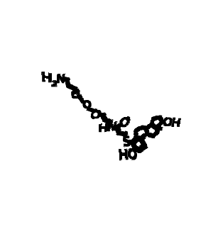 CC12CCC3c4ccc(O)c(SCCC(=O)NCCCOCCOCCOCCCN)c4CCC3C1CC[C@@H]2O